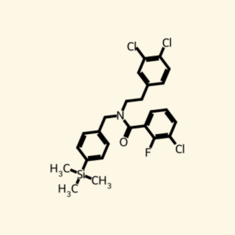 C[Si](C)(C)c1ccc(CN(CCc2ccc(Cl)c(Cl)c2)C(=O)c2cccc(Cl)c2F)cc1